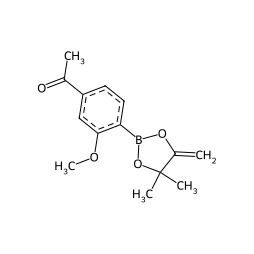 C=C1OB(c2ccc(C(C)=O)cc2OC)OC1(C)C